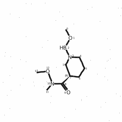 COBN1CCC[C@@H](C(=O)N(C)OC)C1